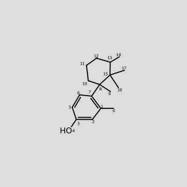 Cc1cc(O)ccc1C1(C)CCCC(C)C1(C)C